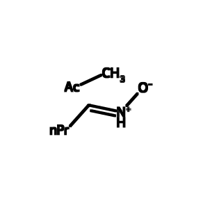 CC(C)=O.CCCC=[NH+][O-]